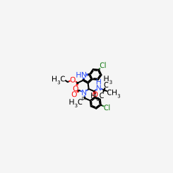 CCOC(=O)c1[nH]c2cc(Cl)ccc2c1C(C(=O)NC(C)(C)C)N(C=O)[C@@H](C)c1ccc(Cl)cc1